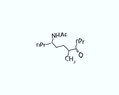 CCCC(=O)C(C)CCC(CCC)NC(C)=O